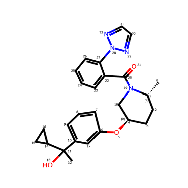 C[C@@H]1CC[C@@H](Oc2cccc(C(C)(O)C3CC3)c2)CN1C(=O)c1ccccc1-n1nccn1